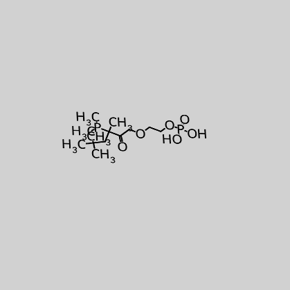 CP(C)C(C)(CC(C)(C)C)C(=O)COCCOP(=O)(O)O